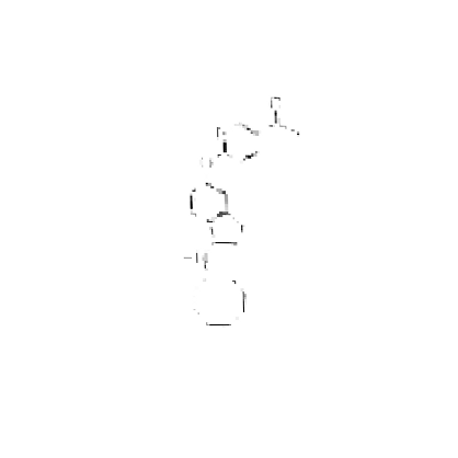 NC(=O)c1ccc(Oc2ccc3c(c2)CCC3NC2CCCCCCC2)nc1